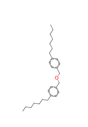 CCCCCCCc1ccc(COCc2ccc(CCCCCCC)cc2)cc1